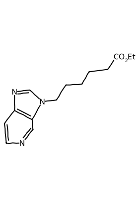 CCOC(=O)CCCCCn1cnc2ccncc21